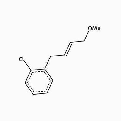 [CH2]OCC=CCc1ccccc1Cl